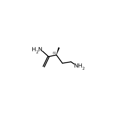 C=C(N)[C@@H](C)CCN